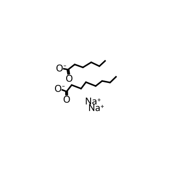 CCCCCC(=O)[O-].CCCCCCCC(=O)[O-].[Na+].[Na+]